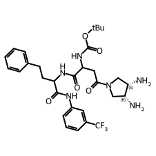 CC(C)(C)OC(=O)NC(CC(=O)N1C[C@@H](N)[C@@H](N)C1)C(=O)NC(CCc1ccccc1)C(=O)Nc1cccc(C(F)(F)F)c1